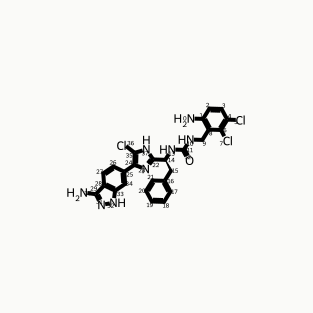 Nc1ccc(Cl)c(Cl)c1CNC(=O)N[C@@H](Cc1ccccc1)c1nc(-c2ccc3c(N)n[nH]c3c2)c(Cl)[nH]1